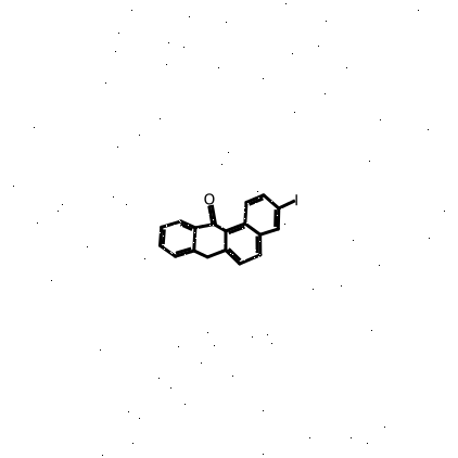 O=C1c2ccccc2Cc2ccc3cc(I)ccc3c21